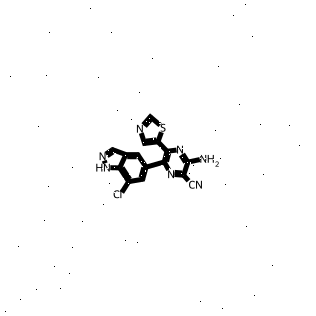 N#Cc1nc(-c2cc(Cl)c3[nH]ncc3c2)c(-c2cncs2)nc1N